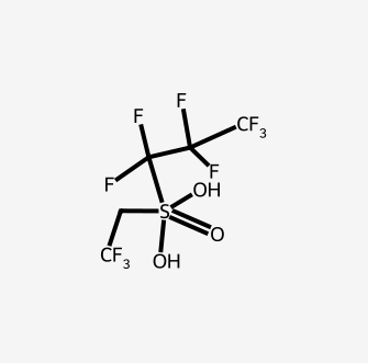 O=S(O)(O)(CC(F)(F)F)C(F)(F)C(F)(F)C(F)(F)F